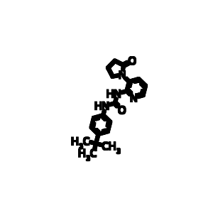 CC(C)(C)c1ccc(NC(=O)Nc2ncccc2N2CCCC2=O)cc1